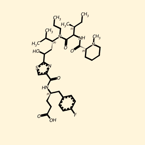 CCCN(C(=O)C(NC(=O)[C@H]1CCCCN1C)[C@@H](C)CC)[C@H](CC(O)c1nc(C(=O)N[C@H](CCC(=O)O)Cc2ccc(F)cc2)cs1)C(C)C